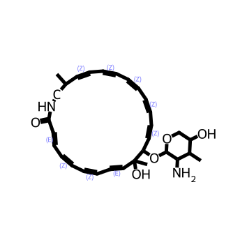 CC1\C=C/C=C\C=C/C=C\C=C/C(OC2OCC(O)C(C)C2N)C(C)(O)/C=C/C=C\C=C/C=C/C(=O)NC1